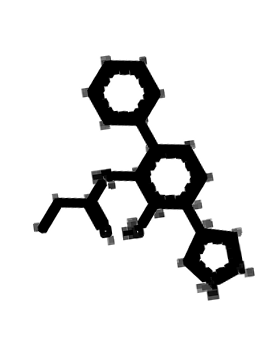 CCC(=O)Nc1c(-c2ccccc2)ccc(-c2cn[nH]c2)c1O